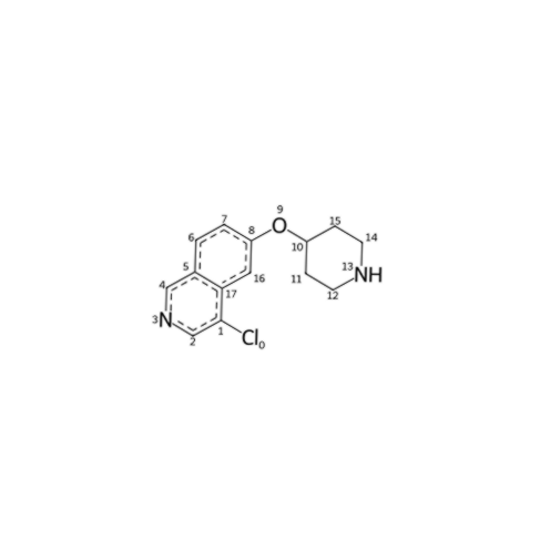 Clc1cncc2ccc(OC3CCNCC3)cc12